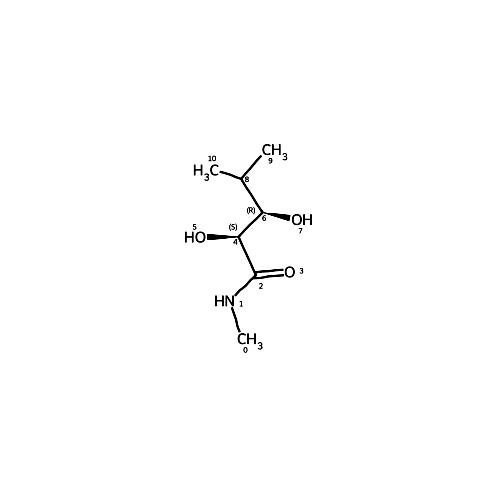 CNC(=O)[C@@H](O)[C@H](O)C(C)C